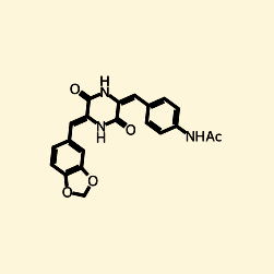 CC(=O)Nc1ccc(C=c2[nH]c(=O)c(=Cc3ccc4c(c3)OCO4)[nH]c2=O)cc1